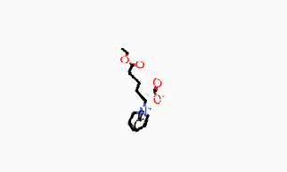 CCOC(=O)CCCC[N+]12CCC(CC1)CC2.O=C[O-]